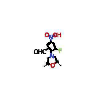 C[C@@H]1CN(c2c(F)cc([N+](=O)O)cc2C=O)C[C@H](C)O1